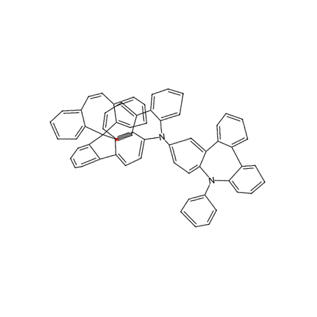 C1=Cc2ccccc2C2(c3ccccc31)c1ccccc1-c1ccc(N(c3ccc4c(c3)-c3ccccc3-c3ccccc3N4c3ccccc3)c3ccccc3-c3ccccc3)cc12